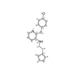 Clc1ccc(Oc2ncccc2NCCc2cccs2)cc1